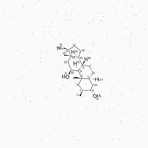 C[C@H]1C[C@@]2(C)[C@@H](CC[C@@H]3[C@@H]2[C@@H](O)C[C@]2(C)[C@@H](C#N)CC[C@@H]32)C[C@@H]1O